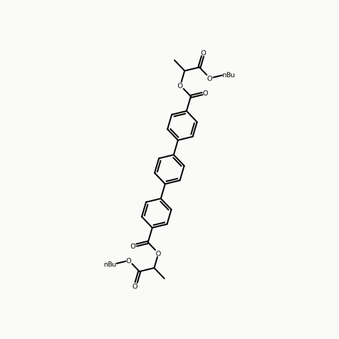 CCCCOC(=O)C(C)OC(=O)c1ccc(-c2ccc(-c3ccc(C(=O)OC(C)C(=O)OCCCC)cc3)cc2)cc1